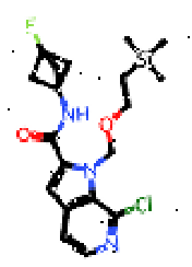 C[Si](C)(C)CCOCn1c(C(=O)NC23CC(F)(C2)C3)cc2ccnc(Cl)c21